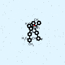 Cc1cc(C)c(-c2ccc3c4ccc(-c5c(C)cc(C)cc5C)cc4n(-c4cc(-c5cccc(F)c5)ccc4-c4nc(-c5ccccc5)nc(-c5ccccc5)n4)c3c2)c(C)c1